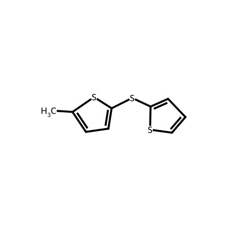 Cc1ccc(Sc2cccs2)s1